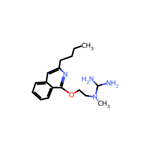 CCCCc1cc2ccccc2c(OCCN(C)C(N)N)n1